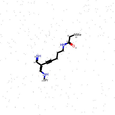 CCCN/C=C(\C#CCCCNC(=O)CNC)C=N